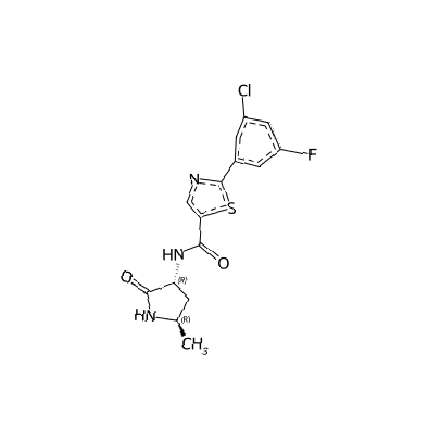 C[C@@H]1C[C@@H](NC(=O)c2cnc(-c3cc(F)cc(Cl)c3)s2)C(=O)N1